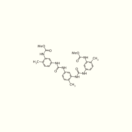 COC(=O)Nc1cc(NC(=O)Nc2ccc(C)c(NC(=O)Nc3ccc(C)c(NC(=O)OC)c3)c2)ccc1C